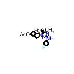 CC(=O)Oc1ccc2c(c1)CCN(c1nc(Nc3ccc(F)cc3)nc(C)c1C)C2C